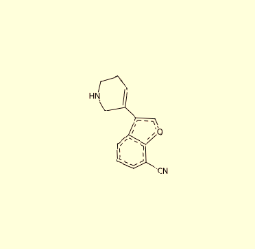 N#Cc1cccc2c(C3=CCCNC3)coc12